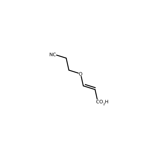 N#CCCOC=CC(=O)O